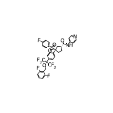 O=C(Nc1ccncc1)[C@@H]1CC[C@](c2ccc(C(OCc3c(F)cccc3F)(C(F)(F)F)C(F)(F)F)cc2)(S(=O)(=O)c2ccc(F)cc2)C1